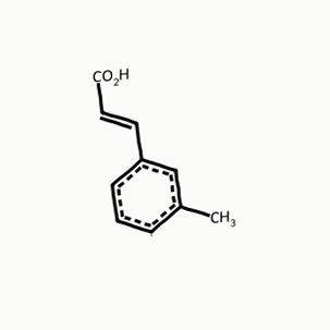 Cc1[c]ccc(/C=C/C(=O)O)c1